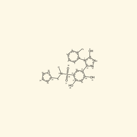 Cc1ccccc1-n1c(O)nnc1-c1cc(S(=O)(=O)N(C)Cc2ccco2)c(O)cc1O